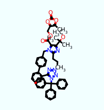 CCCc1nc(C(C)(C)OC)c(C(=O)OCc2oc(=O)oc2C)n1Cc1ccc(-c2ccccc2-c2nnnn2C(c2ccccc2)(c2ccccc2)c2ccccc2)cc1